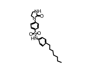 CCCCCCCc1ccc(NS(=O)(=O)c2ccc(N3CCNC3=O)cc2)cc1